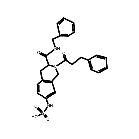 O=C(NCc1ccccc1)C1Cc2ccc(NS(=O)(=O)O)cc2CN1C(=O)CCc1ccccc1